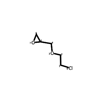 ClCCOCC1CO1